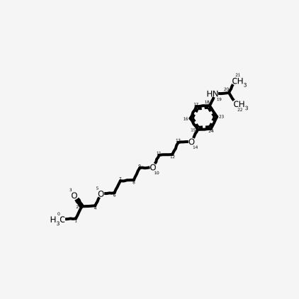 CCC(=O)COCCCCOCCCOc1ccc(NC(C)C)cc1